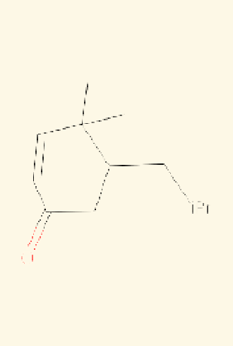 CC(C)CC1CC(=O)C=CC1(C)C